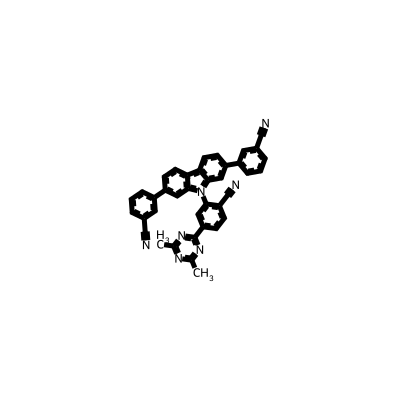 Cc1nc(C)nc(-c2ccc(C#N)c(-n3c4cc(-c5cccc(C#N)c5)ccc4c4ccc(-c5cccc(C#N)c5)cc43)c2)n1